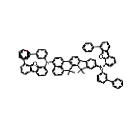 CC1(C)c2cc(N(c3cccc(-c4ccccc4)c3)c3cccc4c3oc3c(-c5ccccc5)cccc34)ccc2-c2ccc3c(c21)C(C)(C)c1cccc2c(N(c4cccc(-c5ccccc5)c4)c4cccc5c4oc4c(-c6ccccc6)cccc45)ccc-3c12